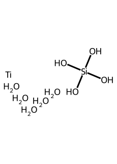 O.O.O.O.O.O[Si](O)(O)O.[Ti]